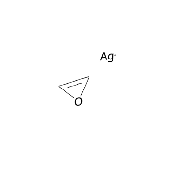 C1=CO1.[Ag]